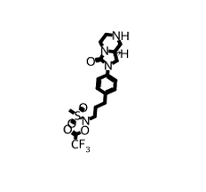 CS(=O)(=O)N(CCCc1ccc(N2C[C@@H]3CNCCN3C2=O)cc1)OC(=O)C(F)(F)F